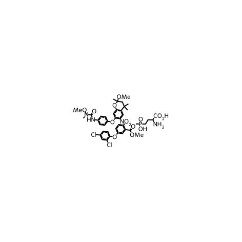 COC(=O)c1cc(Oc2ccc(Cl)cc2Cl)ccc1[N+](=O)[O-].CON(C)C(=O)Nc1ccc(Oc2ccc3c(c2)OC(C)(OC)CC3(C)C)cc1.CP(=O)(O)CCC(N)C(=O)O